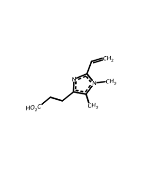 C=Cc1nc(CCC(=O)O)c(C)n1C